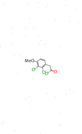 COc1ccc(CC(=O)Cl)c(Cl)c1Cl